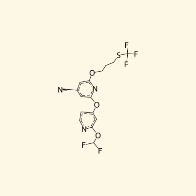 N#Cc1cc(OCCCSC(F)(F)F)nc(Oc2ccnc(OC(F)F)c2)c1